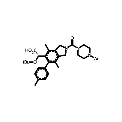 CC(=O)N1CCN(C(=O)N2Cc3c(C)c(-c4ccc(C)cc4)c([C@H](OC(C)(C)C)C(=O)O)c(C)c3C2)CC1